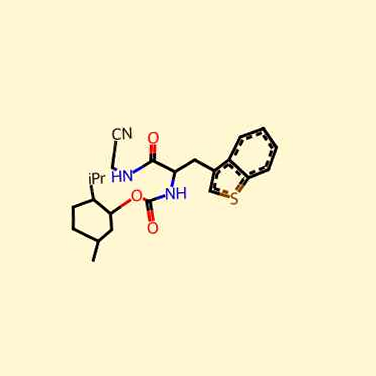 CC1CCC(C(C)C)C(OC(=O)NC(Cc2csc3ccccc23)C(=O)NCC#N)C1